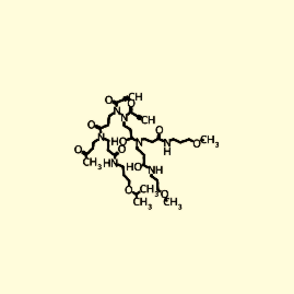 C#CC(=O)N(CCC(=O)N(CCC(C)=O)CCC(=O)NCCCOC(C)C)N(CCC(O)N(CCC(=O)NCCCOC)CCC(O)NCCCOC)C(=O)C#C